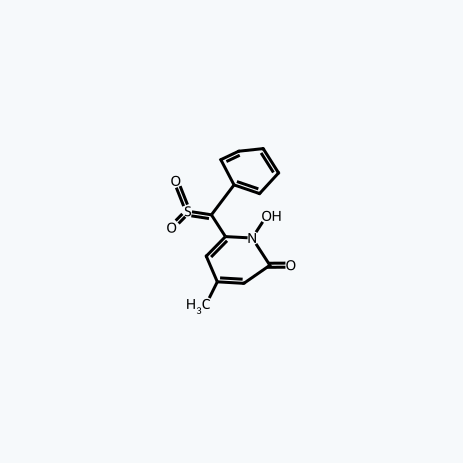 Cc1cc(C(c2ccccc2)=S(=O)=O)n(O)c(=O)c1